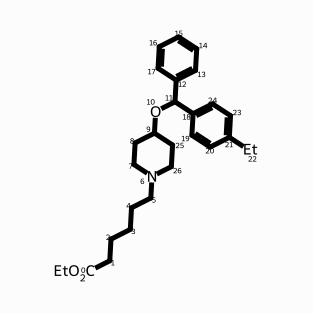 CCOC(=O)CCCCCN1CCC(OC(c2ccccc2)c2ccc(CC)cc2)CC1